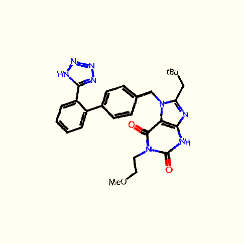 COCCn1c(=O)[nH]c2nc(CC(C)(C)C)n(Cc3ccc(-c4ccccc4-c4nnn[nH]4)cc3)c2c1=O